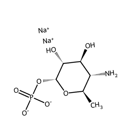 C[C@H]1O[C@H](OP(=O)([O-])[O-])[C@H](O)[C@@H](O)[C@@H]1N.[Na+].[Na+]